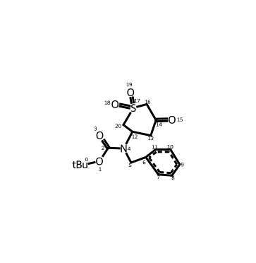 CC(C)(C)OC(=O)N(Cc1ccccc1)C1CC(=O)CS(=O)(=O)C1